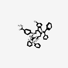 COC(=O)c1ccc(N(C)CCc2c(CCO[Si](c3ccccc3)(c3ccccc3)C(C)(C)C)n(C(c3ccccc3)c3ccccc3)c3ccc(Cl)cc23)cc1